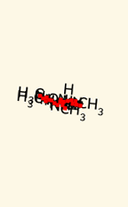 Cc1cn2c(-c3cnn(CC(=O)N4CCN(CCN(C)C)CC4)c3)cnc2c(Nc2cc(CN3CCCC(C)C3)ns2)n1